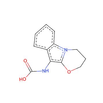 O=C(O)Nc1c2n(c3ccccc13)CCCO2